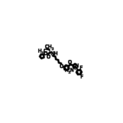 CC(C)C[C@H](NCCCCCCOc1cccc(C(=O)c2cnn(-c3ccc(F)cc3F)c2N)c1)C(=O)OC1CCCC1